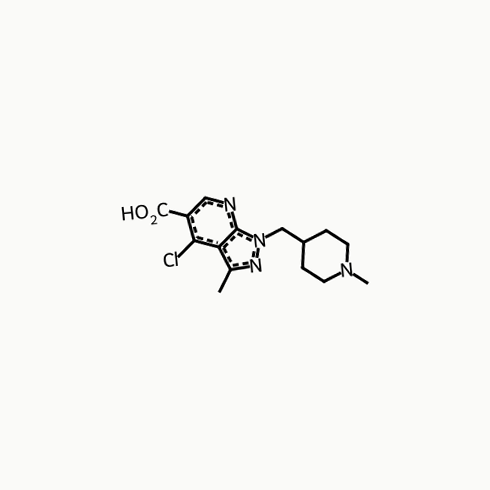 Cc1nn(CC2CCN(C)CC2)c2ncc(C(=O)O)c(Cl)c12